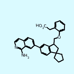 Nc1nccc2ccc(-c3ccc4c(c3)C(COc3ccccc3CC(=O)O)CC43CCCC3)cc12